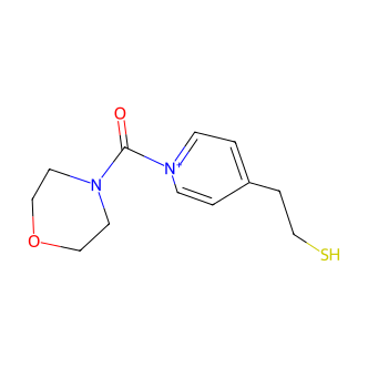 O=C(N1CCOCC1)[n+]1ccc(CCS)cc1